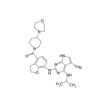 CC(C)Nc1nc(Nc2ccc(C(=O)N3CCC(N4CCOCC4)CC3)c3c2OCC3)nc2[nH]cc(C#N)c12